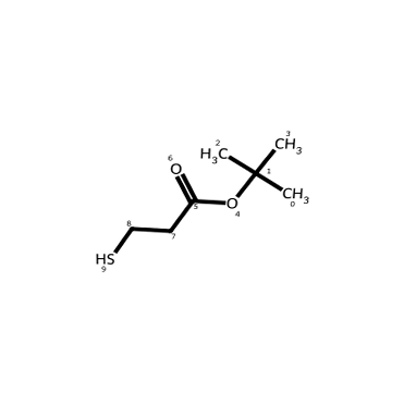 CC(C)(C)OC(=O)CCS